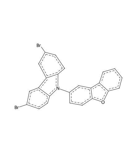 Brc1ccc2c(c1)c1cc(Br)ccc1n2-c1ccc2oc3ccccc3c2c1